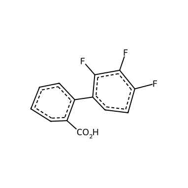 O=C(O)c1ccccc1-c1ccc(F)c(F)c1F